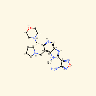 CCn1c(-c2nonc2N)nc2cncc(CN3CCC[C@@H]3CN3CCOCC3)c21